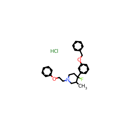 CC1CN(CCOc2ccccc2)CCC1(F)c1cccc(OCc2ccccc2)c1.Cl